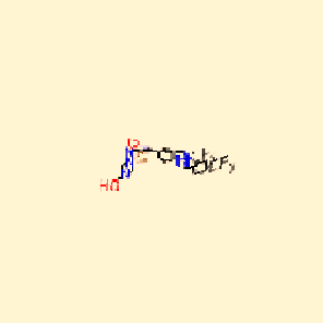 O=C1N=C(N2CCN(CCO)CC2)S/C1=C\c1ccc2c(cnn2Cc2ccc(C(F)(F)F)cc2C(F)(F)F)c1